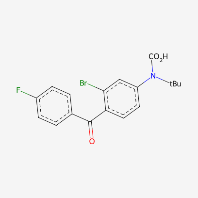 CC(C)(C)N(C(=O)O)c1ccc(C(=O)c2ccc(F)cc2)c(Br)c1